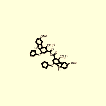 COc1ccc2[nH]c3c(Oc4ccccc4)cc(C(=O)OC(=O)c4cc(Oc5ccccc5)c5[nH]c6ccc(OC)cc6c5c4C(=O)O)c(C(=O)O)c3c2c1